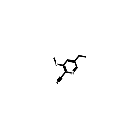 CCc1cnc(C#N)c(OC)c1